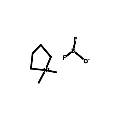 C[N+]1(C)CCCC1.[O-]B(F)F